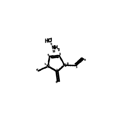 C=CN1C=CN(C)C1=C.Cl.N